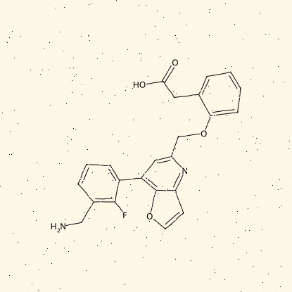 NCc1cccc(-c2cc(COc3ccccc3CC(=O)O)nc3ccoc23)c1F